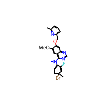 COc1cc2c(NC3=CCC(C)(Br)C=C3F)ncnc2cc1OCc1cccc(C)n1